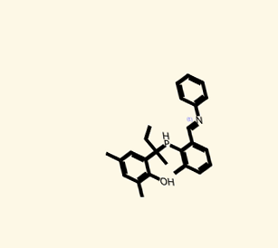 CCC(C)(Pc1c(C)cccc1/C=N/c1ccccc1)c1cc(C)cc(C)c1O